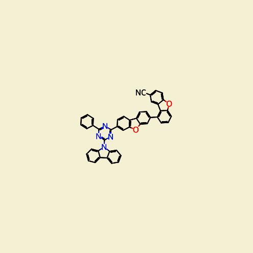 N#Cc1ccc2oc3cccc(-c4ccc5c(c4)oc4cc(-c6nc(-c7ccccc7)nc(-n7c8ccccc8c8ccccc87)n6)ccc45)c3c2c1